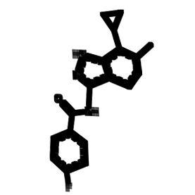 Cc1ccc2c(NC(=O)c3ccc(F)cc3)n[nH]c2c1C1CC1